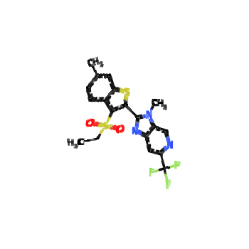 CCS(=O)(=O)c1c(-c2nc3cc(C(F)(F)F)ncc3n2C)sc2cc(C)ccc12